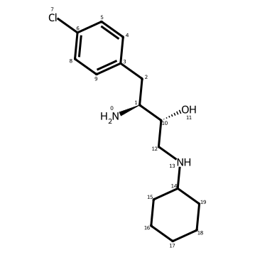 N[C@@H](Cc1ccc(Cl)cc1)[C@H](O)CNC1CCCCC1